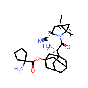 N#C[C@@H]1C[C@@H]2C[C@@H]2N1C(=O)[C@@H](N)C12CC3CC(CC(OC(=O)C4(N)CCCC4)(C3)C1)C2